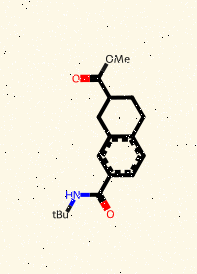 COC(=O)C1CCc2ccc(C(=O)NC(C)(C)C)cc2C1